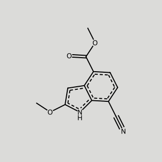 COC(=O)c1ccc(C#N)c2[nH]c(OC)cc12